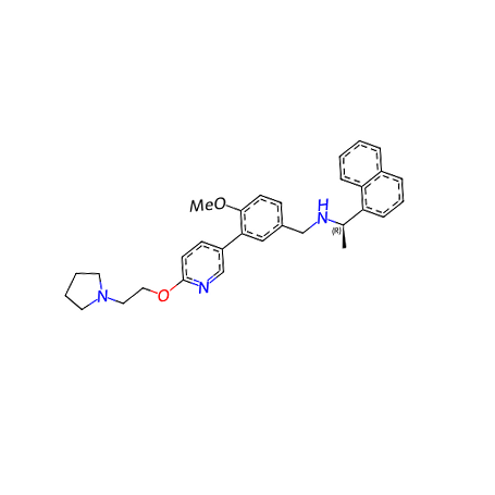 COc1ccc(CN[C@H](C)c2cccc3ccccc23)cc1-c1ccc(OCCN2CCCC2)nc1